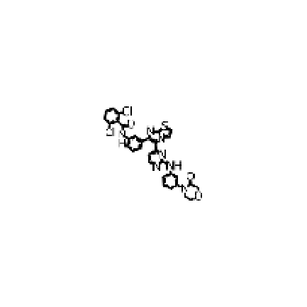 O=C(Nc1cccc(-c2nc3sccn3c2-c2ccnc(Nc3cccc(N4CCOCC4=O)c3)n2)c1)c1c(Cl)cccc1Cl